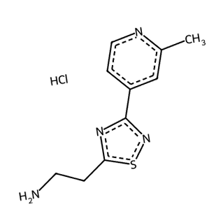 Cc1cc(-c2nsc(CCN)n2)ccn1.Cl